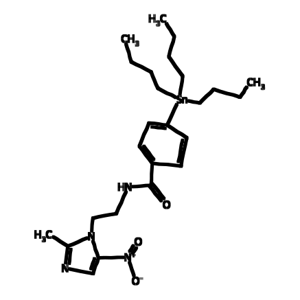 CCC[CH2][Sn]([CH2]CCC)([CH2]CCC)[c]1ccc(C(=O)NCCn2c([N+](=O)[O-])cnc2C)cc1